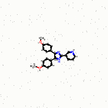 COc1ccc(-c2nc(-c3cccnc3)[nH]c2-c2ccc(OC)cc2)cc1